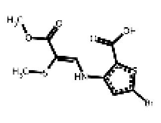 COC(=O)C(=CNc1cc(Br)sc1C(=O)O)SC